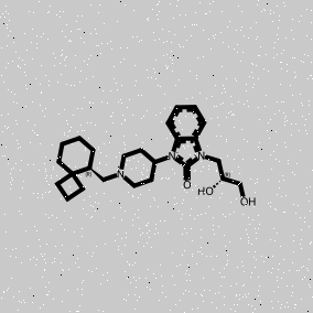 O=c1n(C[C@@H](O)CO)c2ccccc2n1C1CCN(C[C@@H]2CCCCC23CCC3)CC1